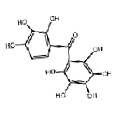 O=C(c1ccc(O)c(O)c1O)c1c(O)c(O)c(O)c(O)c1O